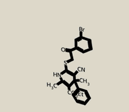 CCOC(=O)C1=C(C)NC(SCC(=O)c2cccc(Br)c2)=C(C#N)C1(C)c1ccccc1